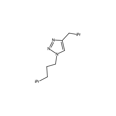 CC(C)CCCn1cc(CC(C)C)nn1